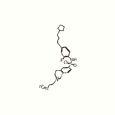 CCCCCCCCCCCCN1CCc2cc(S(=O)(=O)Nc3ccc(CCCC4CCCC4)cc3F)ccc2C1